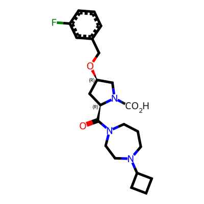 O=C([C@H]1C[C@@H](OCc2cccc(F)c2)CN1C(=O)O)N1CCCN(C2CCC2)CC1